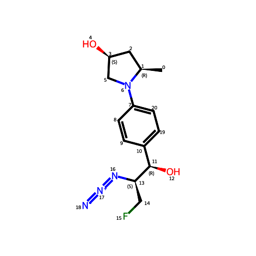 C[C@@H]1C[C@H](O)CN1c1ccc([C@@H](O)[C@@H](CF)N=[N+]=[N-])cc1